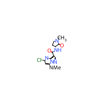 CNc1cc(Cl)nc2c(C(=O)N[C@@H]3CCN(C)C3=O)cnn12